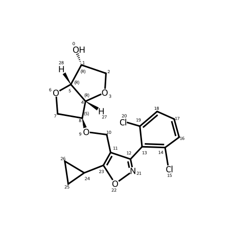 O[C@@H]1CO[C@H]2[C@@H]1OC[C@@H]2OCc1c(-c2c(Cl)cccc2Cl)noc1C1CC1